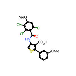 COc1cccc(-c2scc(NC(=O)c3c(Cl)cc(OC)c(Cl)c3Cl)c2C(=O)O)c1